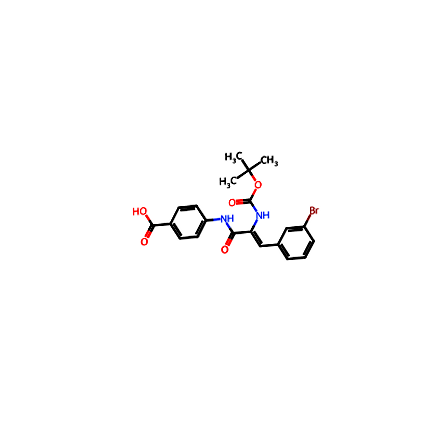 CC(C)(C)OC(=O)NC(=Cc1cccc(Br)c1)C(=O)Nc1ccc(C(=O)O)cc1